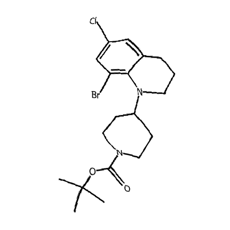 CC(C)(C)OC(=O)N1CCC(N2CCCc3cc(Cl)cc(Br)c32)CC1